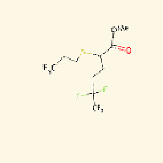 COC(=O)C(CCC(F)(F)C(F)(F)F)SCCC(F)(F)F